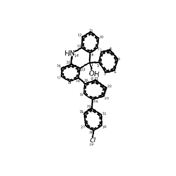 OC1(c2ccccc2)c2ccccc2Nc2cccc(-c3cccc(-c4ccc(Cl)cc4)c3)c21